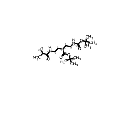 CC(Cl)C(=O)NCCN(CCNC(=O)OC(C)(C)C)C(=O)OC(C)(C)C